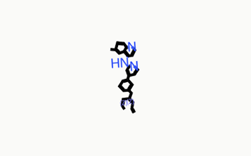 C=C/C=C(\C=C/C)Cc1cccc(-c2ccnc(Nc3ccnc4ccc(C)cc34)c2)c1